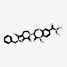 CN(C)C(=O)c1ccc2c(c1)OC[C@H](N1CCc3c(nn(Cc4ccccc4)c3Cl)C1=O)C(=O)N2C